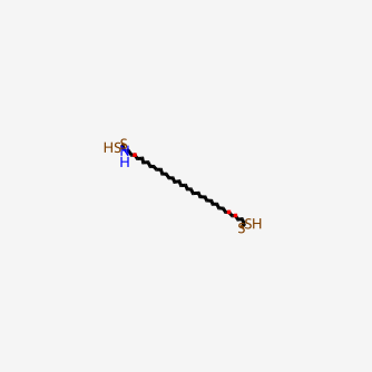 S=C(S)CCCCCCCCCCCCCCCCCCCCCCCCCCCCCCCCCCCCCNC(=S)S